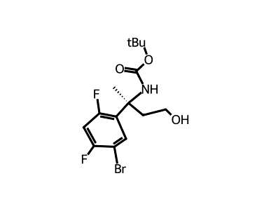 CC(C)(C)OC(=O)N[C@@](C)(CCO)c1cc(Br)c(F)cc1F